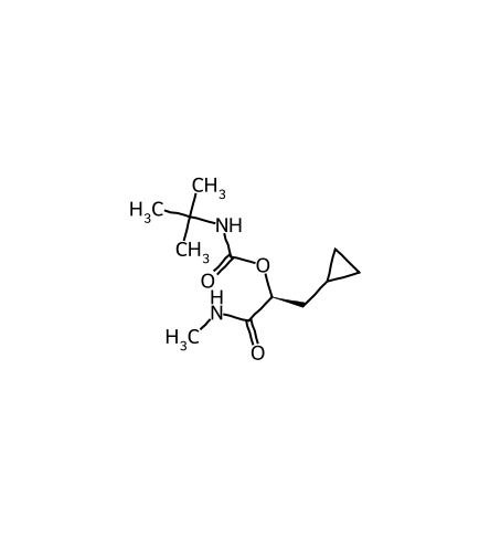 CNC(=O)[C@H](CC1CC1)OC(=O)NC(C)(C)C